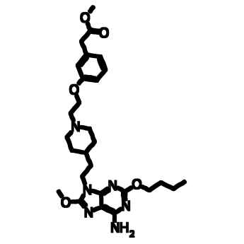 CCCCOc1nc(N)c2nc(OC)n(CCC3CCN(CCOc4cccc(CC(=O)OC)c4)CC3)c2n1